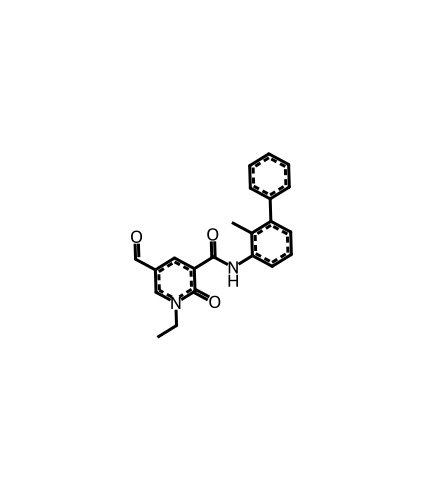 CCn1cc(C=O)cc(C(=O)Nc2cccc(-c3ccccc3)c2C)c1=O